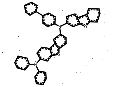 c1ccc(-c2ccc(N(c3ccc4c(c3)oc3ccccc34)c3ccc4sc5cc(N(c6ccccc6)c6ccccc6)ccc5c4c3)cc2)cc1